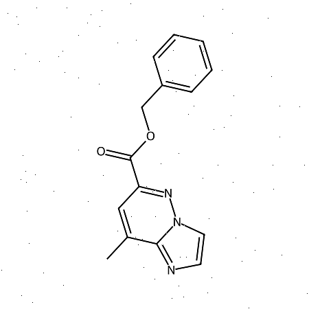 Cc1cc(C(=O)OCc2ccccc2)nn2ccnc12